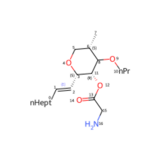 CCCCCCC/C=C/[C@@H]1OC[C@H](C)C(OCCC)[C@@H]1OC(=O)CN